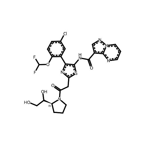 O=C(Nc1sc(CC(=O)N2CCC[C@H]2C(O)CO)nc1-c1cc(Cl)ccc1OC(F)F)c1cnn2cccnc12